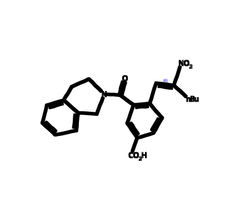 CCCC/C(=C\c1ccc(C(=O)O)cc1C(=O)N1CCc2ccccc2C1)[N+](=O)[O-]